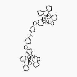 CC(C)(c1ccc(Oc2ccc(N3COc4ccccc4C3P3(=O)Oc4ccccc4-c4ccccc43)cc2)cc1)c1ccc(Oc2ccc(N3COc4ccccc4C3P3(=O)Oc4ccccc4-c4ccccc43)cc2)cc1